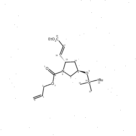 C=CCOC(=O)N1C[C@H](O[Si](C)(C)C(C)(C)C)C[C@H]1C=CC(=O)OCC